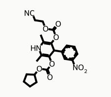 CC1=C(OC(=O)OCCC#N)C(c2cccc([N+](=O)[O-])c2)C(OC(=O)OC2CCCC2)=C(C)N1